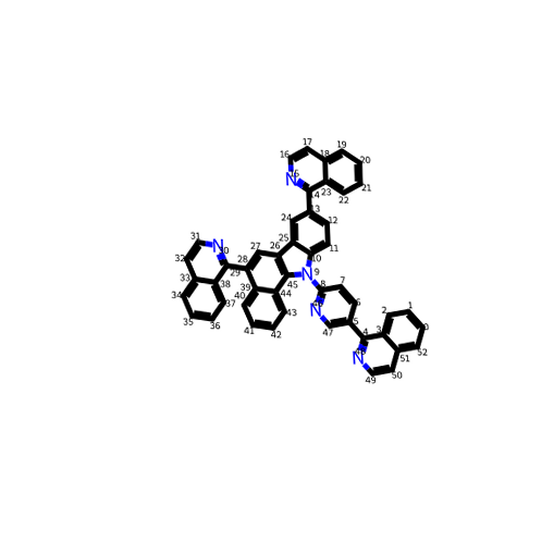 c1ccc2c(-c3ccc(-n4c5ccc(-c6nccc7ccccc67)cc5c5cc(-c6nccc7ccccc67)c6ccccc6c54)nc3)nccc2c1